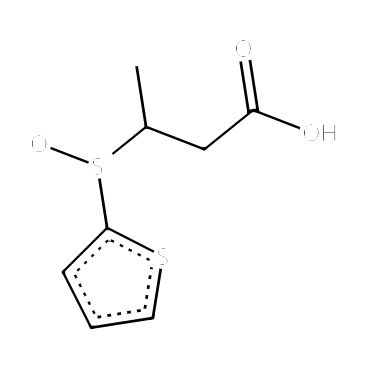 CC(CC(=O)O)[S+]([O-])c1cccs1